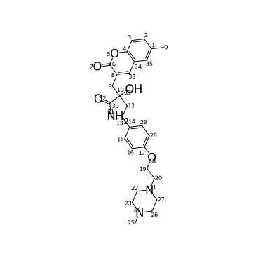 Cc1ccc2oc(=O)c(CC(O)(CCc3ccc(OCCN4CCN(C)CC4)cc3)C(N)=O)cc2c1